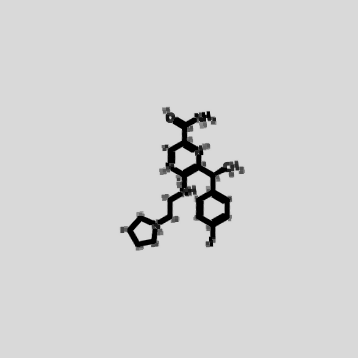 C[C@@H](c1ccc(F)cc1)c1nc(C(N)=O)cnc1NCCN1CCCC1